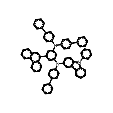 c1ccc(-c2ccc(N(c3ccc(-c4ccccc4)cc3)c3cc(-c4cc5ccccc5c5ccccc45)cc(N(c4ccc(-c5ccccc5)cc4)c4ccc5c(c4)c4ccccc4n5-c4ccccc4)c3)cc2)cc1